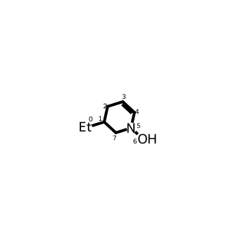 CCC1CC=CN(O)C1